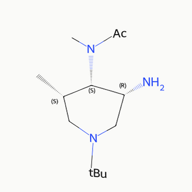 CC(=O)N(C)[C@@H]1[C@H](N)CN(C(C)(C)C)C[C@@H]1C